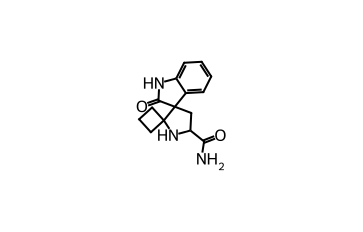 NC(=O)C1CC2(C(=O)Nc3ccccc32)C2(CCC2)N1